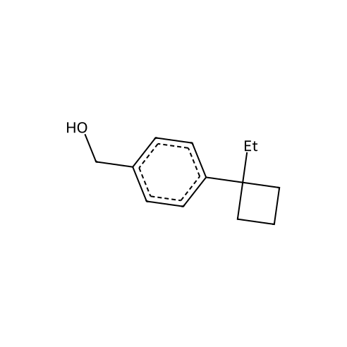 CCC1(c2ccc(CO)cc2)CCC1